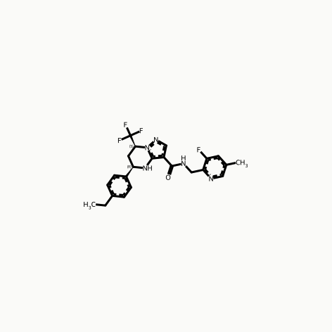 CCc1ccc([C@H]2C[C@@H](C(F)(F)F)n3ncc(C(=O)NCc4ncc(C)cc4F)c3N2)cc1